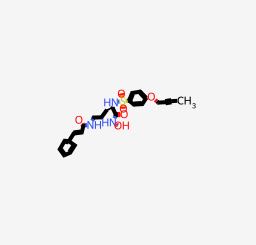 CC#CCOc1ccc(S(=O)(=O)N[C@H](CCCNC(=O)C=Cc2ccccc2)C(=O)NO)cc1